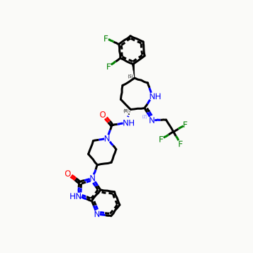 O=C(N[C@@H]1CC[C@@H](c2cccc(F)c2F)CN/C1=N\CC(F)(F)F)N1CCC(n2c(=O)[nH]c3ncccc32)CC1